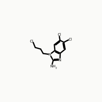 Nc1nc2cc(Cl)c(Cl)cc2n1CCCCl